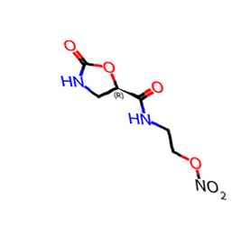 O=C1NC[C@H](C(=O)NCCO[N+](=O)[O-])O1